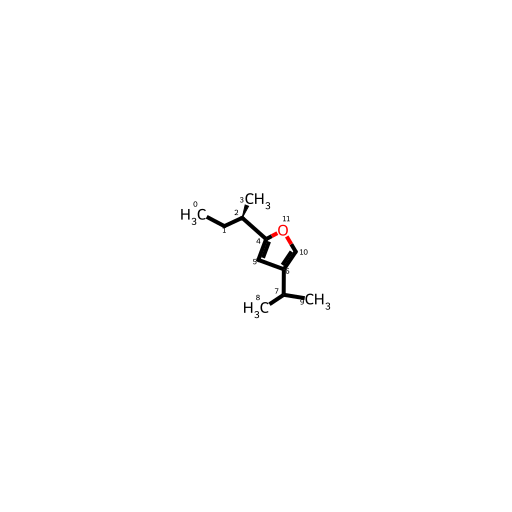 CC[C@@H](C)c1cc(C(C)C)co1